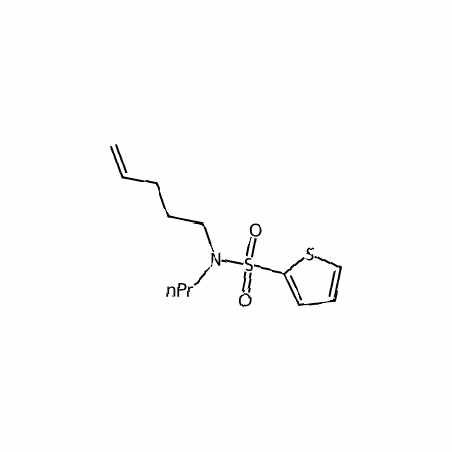 C=CCCCN(CCC)S(=O)(=O)c1cccs1